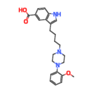 COc1ccccc1N1CCN(CCCCc2c[nH]c3ccc(C(=O)O)cc23)CC1